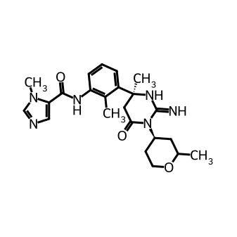 Cc1c(NC(=O)c2cncn2C)cccc1[C@]1(C)CC(=O)N([C@@H]2CCOC(C)C2)C(=N)N1